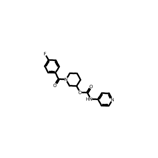 O=C(Nc1ccncc1)OC1CCCN(C(=O)c2ccc(F)cc2)C1